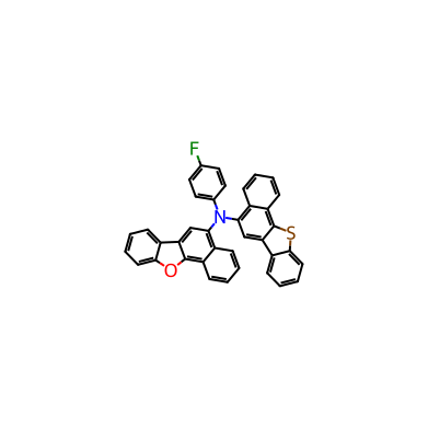 Fc1ccc(N(c2cc3c4ccccc4oc3c3ccccc23)c2cc3c4ccccc4sc3c3ccccc23)cc1